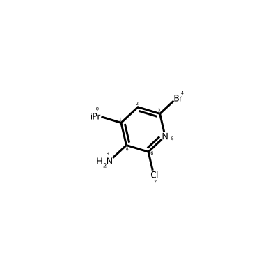 CC(C)c1cc(Br)nc(Cl)c1N